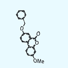 COc1ccc2c(c1)oc(=O)c1cc(OCc3ccccc3)ccc12